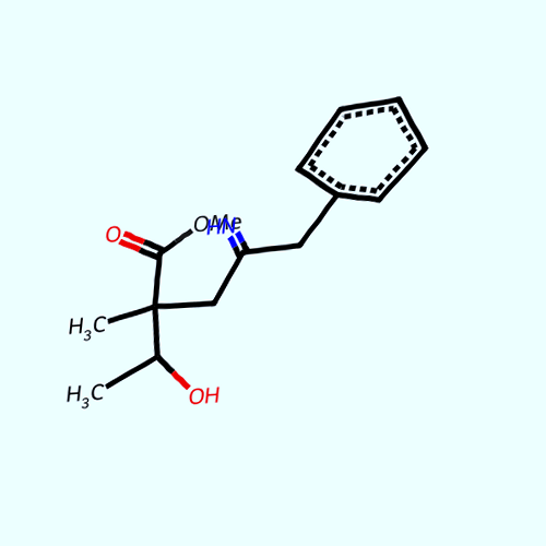 COC(=O)C(C)(CC(=N)Cc1ccccc1)C(C)O